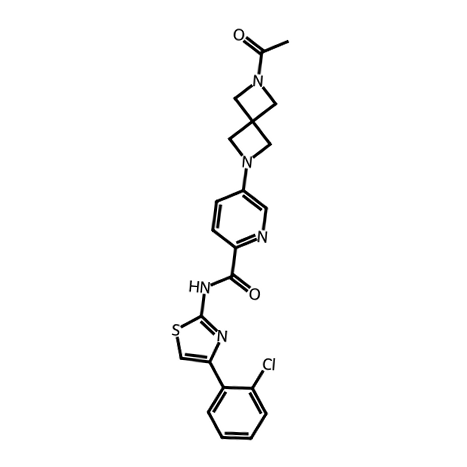 CC(=O)N1CC2(C1)CN(c1ccc(C(=O)Nc3nc(-c4ccccc4Cl)cs3)nc1)C2